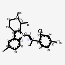 C/C(=C\n1c2c(c3cc(C)ccc31)CCN(C)C2C)c1ccc(Cl)cc1Cl